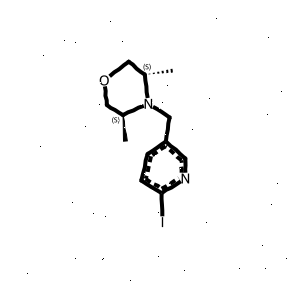 C[C@H]1COC[C@H](C)N1Cc1ccc(I)nc1